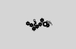 CC1(C)C/C=C(N(c2ccccc2)c2ccc(-c3ccc(-c4ccccc4N(/C=C/C=C\C=O)c4ccc(C5C=CC=CC5)cc4)cc3)cc2)\C=C/Cc2ccccc21